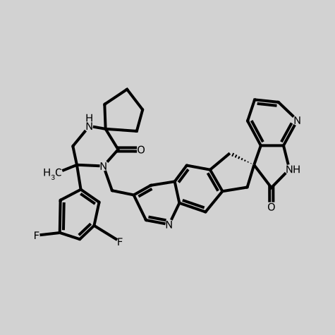 CC1(c2cc(F)cc(F)c2)CNC2(CCCC2)C(=O)N1Cc1cnc2cc3c(cc2c1)C[C@@]1(C3)C(=O)Nc2ncccc21